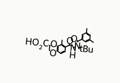 Cc1cc(C)cc(C(=O)N(NC(=O)c2ccc3c(c2C)O[C@@H](C(=O)O)CO3)C(C)(C)C)c1